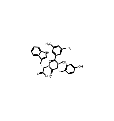 Cc1cc(C)cc(C(=O)N(C)[C@H](Cc2ccc(O)cc2)C(=O)N[C@@H](Cc2c[nH]c3ccccc23)C(N)=O)c1